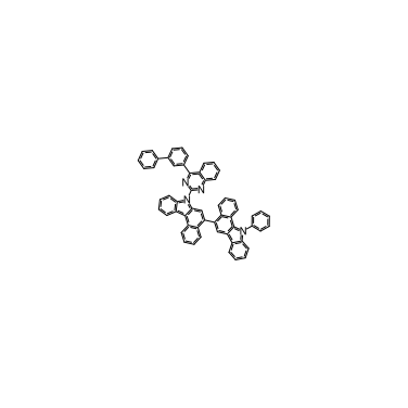 c1ccc(-c2cccc(-c3nc(-n4c5ccccc5c5c6ccccc6c(-c6cc7c8ccccc8n(-c8ccccc8)c7c7ccccc67)cc54)nc4ccccc34)c2)cc1